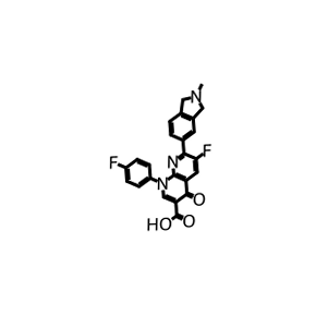 CN1Cc2ccc(-c3nc4c(cc3F)c(=O)c(C(=O)O)cn4-c3ccc(F)cc3)cc2C1